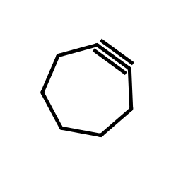 C1#CCCCCC1